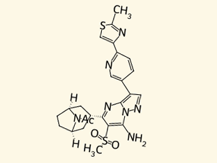 CC(=O)N1[C@@H]2CC[C@H]1C[C@H](c1nc3c(-c4ccc(-c5csc(C)n5)nc4)cnn3c(N)c1S(C)(=O)=O)C2